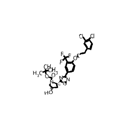 CC(C)(C)OC(=O)N1C[C@H](O)C[C@H]1c1nc(-c2ccc(OCCCc3ccc(Cl)c(Cl)c3)c(C(F)(F)F)c2)no1